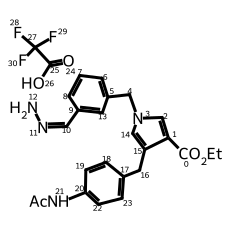 CCOC(=O)c1cn(Cc2cccc(/C=N\N)c2)cc1Cc1ccc(NC(C)=O)cc1.O=C(O)C(F)(F)F